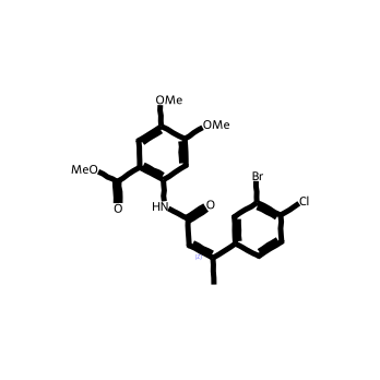 COC(=O)c1cc(OC)c(OC)cc1NC(=O)/C=C(/C)c1ccc(Cl)c(Br)c1